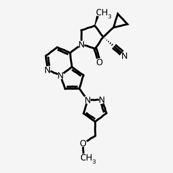 COCc1cnn(-c2cc3c(N4C[C@@H](C)[C@@](C#N)(C5CC5)C4=O)ccnn3c2)c1